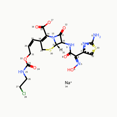 Nc1nc(/C(=N/O)C(=O)NC2C(=O)N3C(C(=O)[O-])=C(/C=C\COC(=O)NCCCl)CS[C@@H]23)cs1.[Na+]